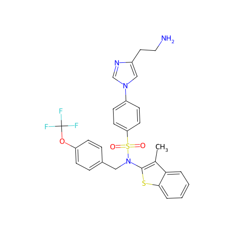 Cc1c(N(Cc2ccc(OC(F)(F)F)cc2)S(=O)(=O)c2ccc(-n3cnc(CCN)c3)cc2)sc2ccccc12